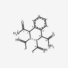 CC(=N)SC(C(N)=O)c1ccccc1C(SC(C)=N)C(N)=O